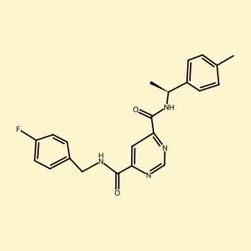 Cc1ccc([C@H](C)NC(=O)c2cc(C(=O)NCc3ccc(F)cc3)ncn2)cc1